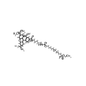 CCOP(=O)(F)CCOCCOCCOCCOC(=O)NCCCCCNC(=O)c1ccc(-c2c3ccc(=[N+](C)C)cc-3oc3cc(N(C)C)ccc23)c(C(=O)O)c1